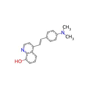 CN(C)c1ccc(/C=C/c2ccnc3c(O)cccc23)cc1